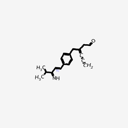 C=C=C=C(CC=O)Cc1ccc(/C=C/C(=N)C(C)C)cc1